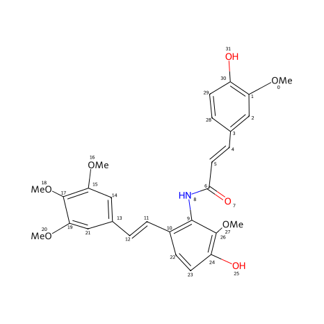 COc1cc(/C=C/C(=O)Nc2c(C=Cc3cc(OC)c(OC)c(OC)c3)ccc(O)c2OC)ccc1O